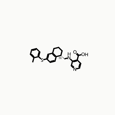 Cc1ccccc1Sc1ccc2c(c1)CCC[C@@H]2CNc1cnccc1C(=O)O